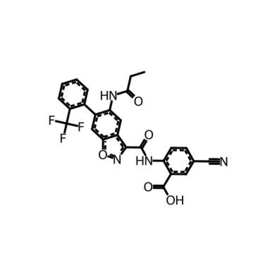 CCC(=O)Nc1cc2c(C(=O)Nc3ccc(C#N)cc3C(=O)O)noc2cc1-c1ccccc1C(F)(F)F